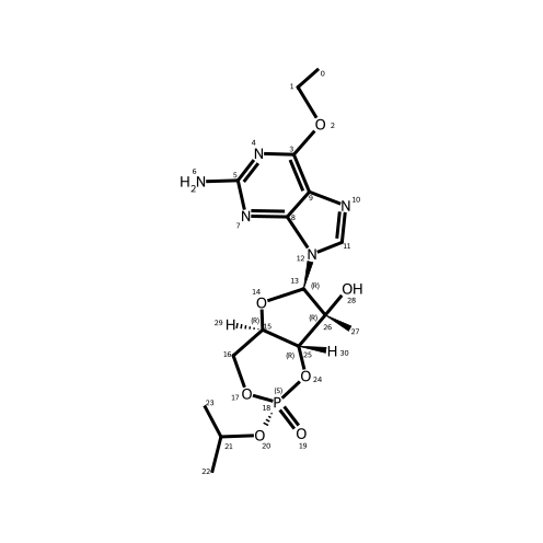 CCOc1nc(N)nc2c1ncn2[C@@H]1O[C@@H]2CO[P@@](=O)(OC(C)C)O[C@H]2[C@@]1(C)O